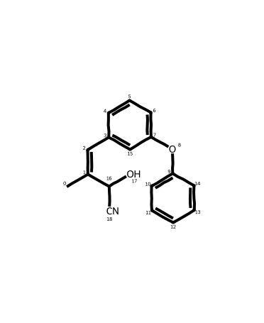 C/C(=C/c1cccc(Oc2ccccc2)c1)C(O)C#N